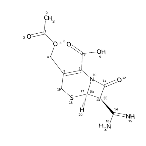 CC(=O)OCC1=C(C(=O)O)N2C(=O)[C@@H](C(=N)N)[C@H]2SC1